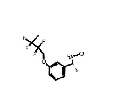 C[C@@H](NCl)c1cccc(OCC(F)(F)C(F)(F)F)c1